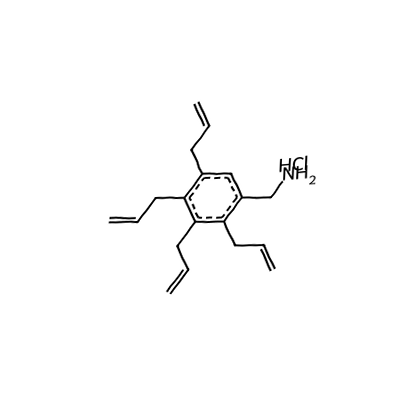 C=CCc1cc(CN)c(CC=C)c(CC=C)c1CC=C.Cl